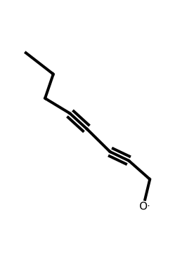 CCCC#CC#CC[O]